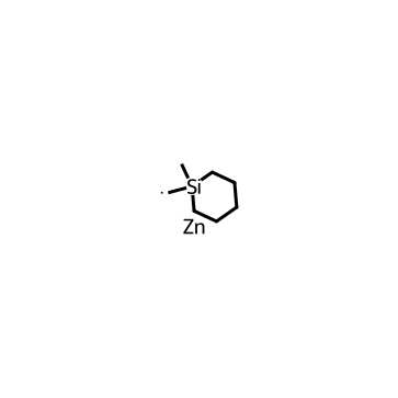 [CH2][Si]1(C)CCCCC1.[Zn]